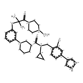 CC(C)(Oc1cccc(N2CCC[C@@H](C(=O)N(Cc3ccc(-c4cn[nH]c4)cc3Cl)C3CC3)C2)c1)C(=O)N1CCN(C(=O)O)CC1